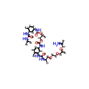 Cc1ccc(NC(=O)OC(C)COC(=O)Nc2ccc(C)c(NC(=O)NC(C)COCCOCC(C)OCC(C)N)c2)cc1NC(=O)NC(C)C